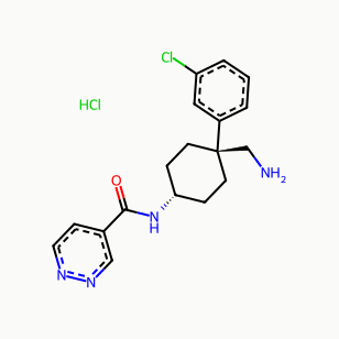 Cl.NC[C@]1(c2cccc(Cl)c2)CC[C@@H](NC(=O)c2ccnnc2)CC1